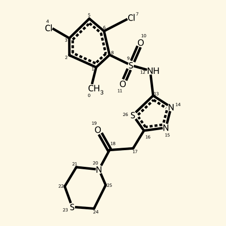 Cc1cc(Cl)cc(Cl)c1S(=O)(=O)Nc1nnc(CC(=O)N2CCSCC2)s1